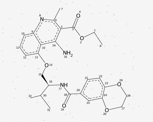 CCOC(=O)c1c(C)nc2cccc(OC[C@@H](NC(=O)c3ccc4c(c3)OCCO4)C(C)C)c2c1N